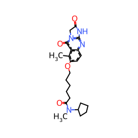 Cc1c(OCCCCCC(=O)N(C)C2CCCC2)ccc2nc3n(c(=O)c12)CC(=O)N3